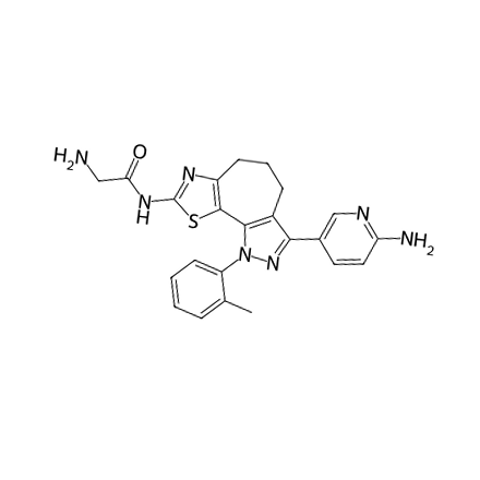 Cc1ccccc1-n1nc(-c2ccc(N)nc2)c2c1-c1sc(NC(=O)CN)nc1CCC2